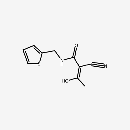 CC(O)=C(C#N)C(=O)NCc1cccs1